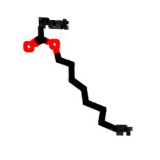 CCCC(C)C(=O)OCCCCCCCC(C)C